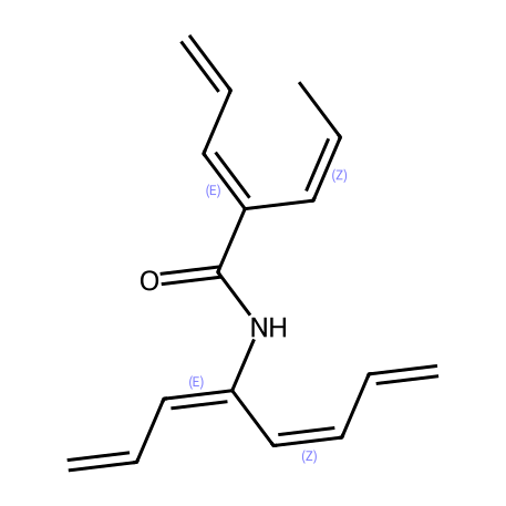 C=C/C=C\C(=C/C=C)NC(=O)C(/C=C\C)=C/C=C